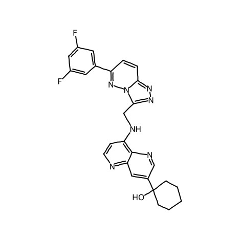 OC1(c2cnc3c(NCc4nnc5ccc(-c6cc(F)cc(F)c6)nn45)ccnc3c2)CCCCC1